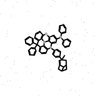 CC1(c2ccc(N3c4cc(N(c5ccccc5)c5ccccc5)cc5c4B4c6c(cccc6C(c6ccccc6)(c6ccccc6)c6cccc3c64)O5)cc2)C=C2CC3CC(C1)C23